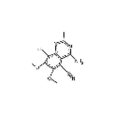 COc1c(OC)c(C#N)c2c(N)nc(C)nc2c1Cl